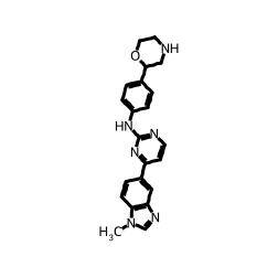 Cn1cnc2cc(-c3ccnc(Nc4ccc(C5CNCCO5)cc4)n3)ccc21